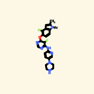 CC(=O)n1c(C)cc2c(F)c(OC3N=CN=C(Nc4ccc(N5CCNCC5)cn4)C3F)ccc21